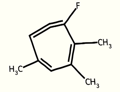 CC1=CC(C)=C(C)C(F)=C=C1